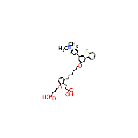 CN(C)c1ccc(-c2cc(OCCCCCCc3cccc(OCCCC(=O)O)c3CCC(=O)O)cc(-c3ccccc3F)c2)cc1